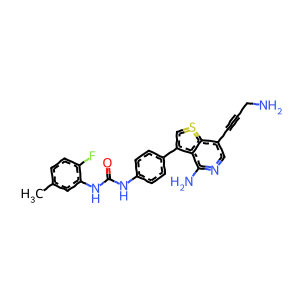 Cc1ccc(F)c(NC(=O)Nc2ccc(-c3csc4c(C#CCN)cnc(N)c34)cc2)c1